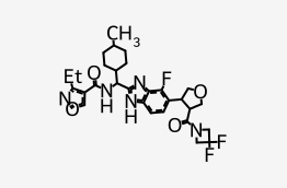 CCc1nocc1C(=O)NC(c1nc2c(F)c(C3COCC3C(=O)N3CC(F)(F)C3)ccc2[nH]1)C1CCC(C)CC1